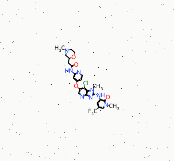 CN1CCOC(CC(=O)Nc2cc(Oc3cnc4nc(Nc5cc(C(F)(F)F)cn(C)c5=O)n(C)c4c3Cl)ccn2)C1